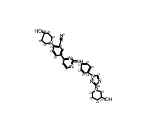 N#Cc1cc(-c2ccnc(Nc3ccc(-n4cnc(N5CCCC(O)C5)n4)cc3)n2)ccc1N1CCC(O)CC1